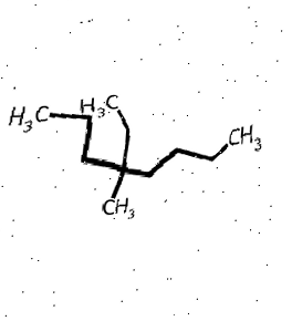 CCCCC(C)(CC)CCC